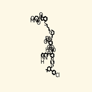 CC1(C)CCC(CN2CCN(c3ccc(C(=O)NS(=O)(=O)c4ccc(NCC5CCCN(CCCCSc6cccc7c6CN(C6CCC(=O)NC6=O)C7=O)C5)c([N+](=O)[O-])c4)c(Oc4cnc5[nH]ccc5c4)c3)CC2)=C(c2ccc(Cl)cc2)C1